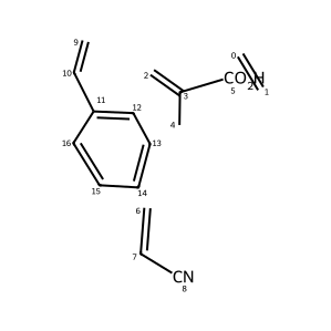 C=C.C=C(C)C(=O)O.C=CC#N.C=Cc1ccccc1